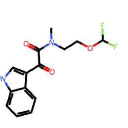 CN(CCOC(F)F)C(=O)C(=O)c1c[nH]c2ccccc12